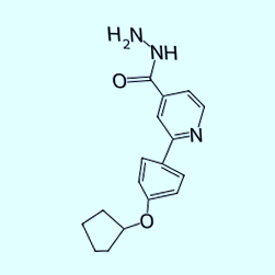 NNC(=O)c1ccnc(-c2ccc(OC3CCCC3)cc2)c1